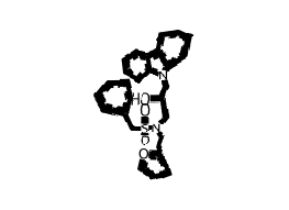 O=S(=O)(Cc1ccccc1)N(Cc1ccco1)CC(O)Cn1c2ccccc2c2ccccc21